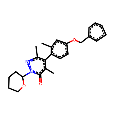 Cc1cc(OCc2ccccc2)ccc1-c1c(C)nn(C2CCCCO2)c(=O)c1C